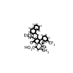 CCNC(=O)c1c(Cc2cccc3ccccc23)c(-c2cccc(C(F)(F)F)c2)c2n(c1=O)C(C(=O)O)CN(C)S2(=O)=O